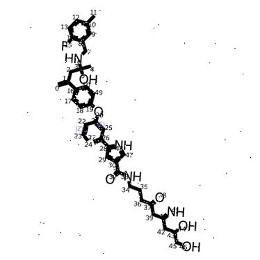 C=C(CC(C)(O)NCc1cc(C)ccc1F)c1ccc(OC(/C=C\C)=C/C(=C)c2cc(C(=O)NCCCC(=O)CC(=N)CC(O)CO)c[nH]2)cc1